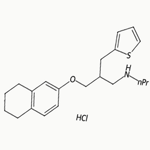 CCCNCC(COc1ccc2c(c1)CCCC2)Cc1cccs1.Cl